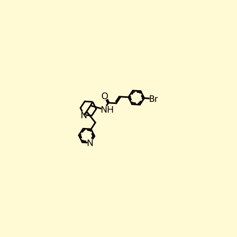 O=C(C=Cc1ccc(Br)cc1)NC1C2CCN(CC2)C1Cc1cccnc1